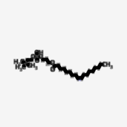 CCCCCCCC/C=C\CCCCCCCC(=O)OCCCOP(=O)(O)OCC[N+](C)(C)C